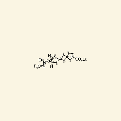 CCOC(=O)N1CCC2(CC(N3C[C@@H]4[C@H](C3)[C@H]4N(CC)CC(F)(F)F)C2)C1